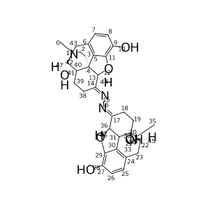 CN1CC[C@]23c4c5ccc(O)c4O[C@H]2C(=NN=C2CC[C@@]4(O)[C@H]6Cc7ccc(O)c8c7[C@@]4(CCN6C)[C@H]2O8)CC[C@@]3(O)[C@H]1C5